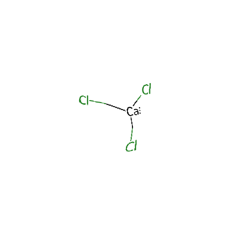 [Cl][Ca]([Cl])[Cl]